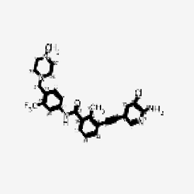 Cc1c(C#Cc2cnc(N)c(Cl)c2)cccc1C(=O)Nc1ccc(CN2CCN(C)CC2)c(C(F)(F)F)c1